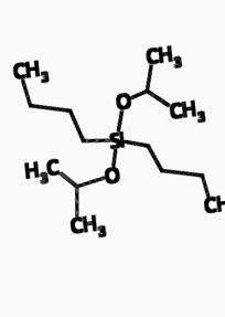 CCCC[Si](CCCC)(OC(C)C)OC(C)C